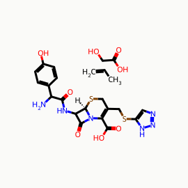 C=CC.NC(C(=O)NC1C(=O)N2C(C(=O)O)=C(CSc3cnn[nH]3)CS[C@H]12)c1ccc(O)cc1.O=C(O)CO